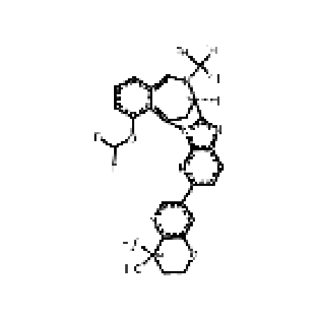 [2H]C([2H])([2H])N1C=c2cccc(OC(F)F)c2=C2C[C@@H]1c1nc3ccc(-c4cnc5c(c4)OCC[C@]5(C)O)nc3n12